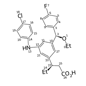 CCO[C@H](c1ccc(F)cc1)c1cc(Nc2ccc(Cl)cc2)cc([C@H](CC)CC(=O)O)c1